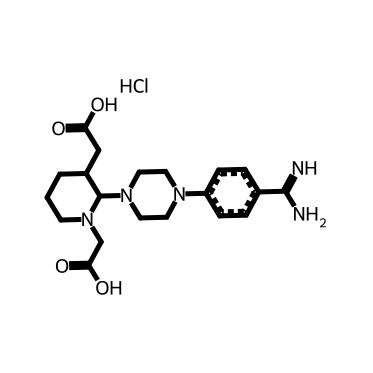 Cl.N=C(N)c1ccc(N2CCN(C3C(CC(=O)O)CCCN3CC(=O)O)CC2)cc1